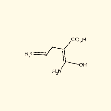 C=CCC(C(=O)O)=C(N)O